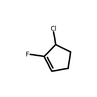 FC1=CCCC1Cl